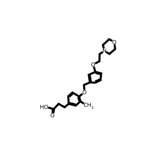 Cc1cc(CCC(=O)O)ccc1OCc1cccc(OCCN2CCOCC2)c1